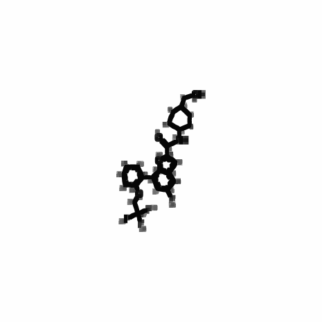 O=C(NC1CCC(CO)CC1)c1cc2cc(F)cc(-c3ccccc3OCC(F)(F)F)c2o1